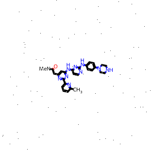 CNC(=O)Cc1cc(Nc2ccnc(Nc3ccc(N4CCNCC4)cc3)n2)nc(-c2cccc(C)n2)n1